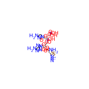 CSSC(CN=[N+]=[N-])C[C@H](N)C(=O)O[C@@H]1C(COP(=O)(O)[C@H]2C[C@H](n3ccc(N)nc3=O)O[C@@H]2COP(=O)(O)O)O[C@@H](n2cnc3c(N)ncnc32)[C@@H]1O